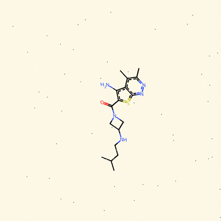 Cc1nnc2sc(C(=O)N3CC(NCCC(C)C)C3)c(N)c2c1C